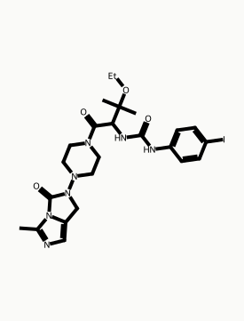 CCOC(C)(C)C(NC(=O)Nc1ccc(I)cc1)C(=O)N1CCN(N2Cc3cnc(C)n3C2=O)CC1